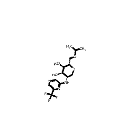 CC(C)OC[C@H]1OC[C@H](Nc2cncc(C(F)(F)F)n2)[C@@H](O)[C@H]1O